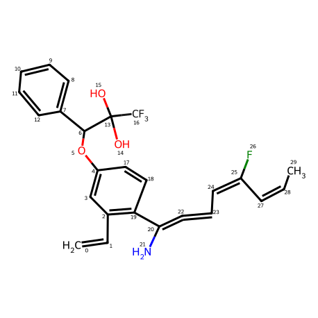 C=Cc1cc(OC(c2ccccc2)C(O)(O)C(F)(F)F)ccc1C(N)=C=C/C=C(F)\C=C/C